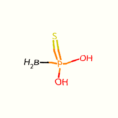 BP(O)(O)=S